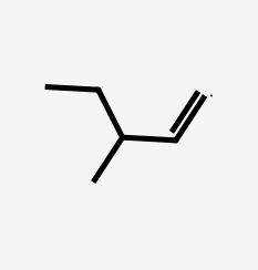 [CH]=CC(C)CC